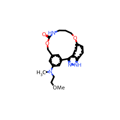 COCCN(C)c1cc2cc(c1)-c1n[nH]c3ccc(cc13)OCCCNC(=O)OC2